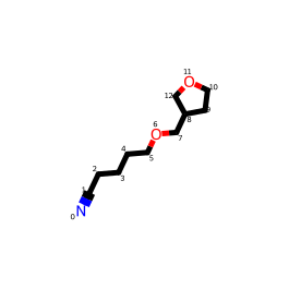 N#CCCCCOCC1CCOC1